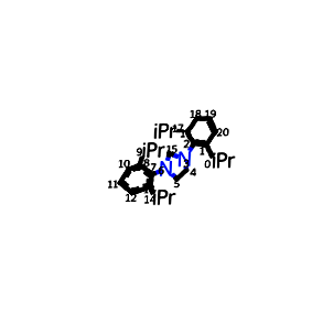 CC(C)C1=C(N2CCN(c3c(C(C)C)cccc3C(C)C)C2)[C@@H](C(C)C)CC=C1